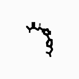 CC(C)Cc1ccc(-c2cn([C@@H](C)CNC(C)C)cn2)cc1